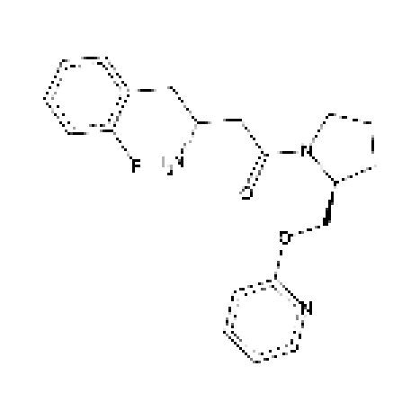 N[C@@H](CC(=O)N1CCC[C@H]1COc1ccccn1)Cc1ccccc1F